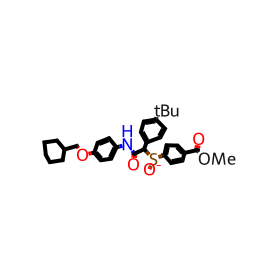 COC(=O)c1ccc([S+]([O-])C(C(=O)Nc2ccc(OCC3CCCCC3)cc2)c2ccc(C(C)(C)C)cc2)cc1